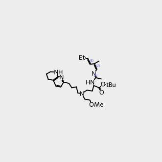 CC/C=C/C(C)=C\N=C(/C)NC(CCN(CCCCc1ccc2c(n1)NCCC2)CCOC)C(=O)OC(C)(C)C